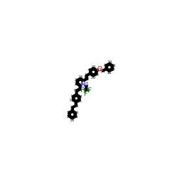 FC(F)(F)C[n+]1c(/C=C/c2ccc(CCc3ccccc3)cc2)cccc1/C=C/c1ccc(OCc2ccccc2)cc1